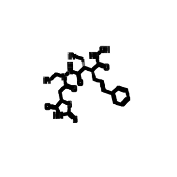 CC(C)C[C@@H](C(=O)NN(CC(C)C)C(=O)CC1SC(=S)NC1=O)[C@H](CC=Cc1ccccc1)C(=O)NO